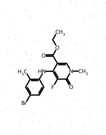 CCOC(=O)c1cn(C)c(=O)c(F)c1Nc1ccc(Br)cc1C